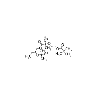 CCC(COC(=O)C(C)(C)OCCOC(=O)C(C)(C)C)OC(C)(C)C